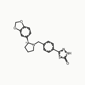 O=c1[nH]nc(-c2ccc(CN3CCC[C@H]3c3ccc4c(c3)OCO4)cc2)s1